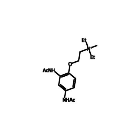 CC[N+](C)(CC)CCOc1ccc(NC(C)=O)cc1NC(C)=O